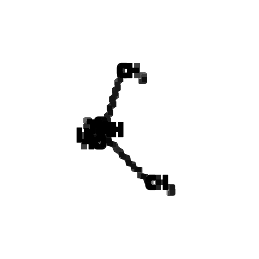 [2H]C(O)[C@H](NC(=O)CCCCCCCCCCCCC)[C@H](O)/C=C/CCCCCCCCCCCCC